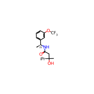 CC(C)C(C)(O)CC(=O)N[C@@H](C)c1cccc(OC(F)(F)F)c1